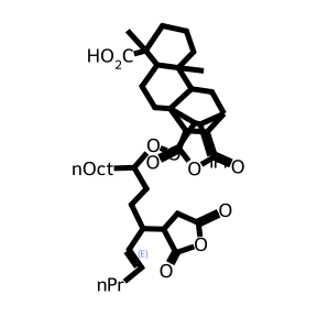 CCC/C=C/C(CCC(CCCCCCCC)OOC1C(C(C)C)C2CC3C4(C)CCCC(C)(C(=O)O)C4CCC13C1C(=O)OC(=O)C21)C1CC(=O)OC1=O